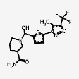 Cc1c(-c2ccc(C(O)N3CCCC(C(N)=O)C3)s2)noc1C(F)(F)F